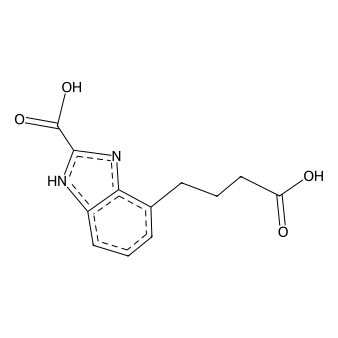 O=C(O)CCCc1cccc2[nH]c(C(=O)O)nc12